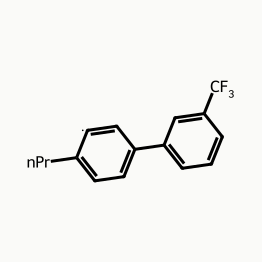 CCCc1[c]cc(-c2cccc(C(F)(F)F)c2)cc1